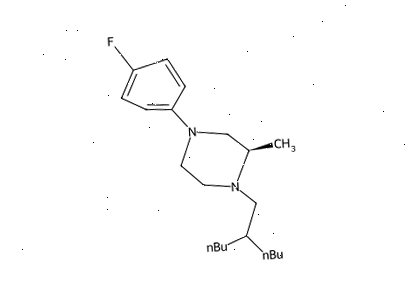 CCCCC(CCCC)CN1CCN(c2ccc(F)cc2)C[C@H]1C